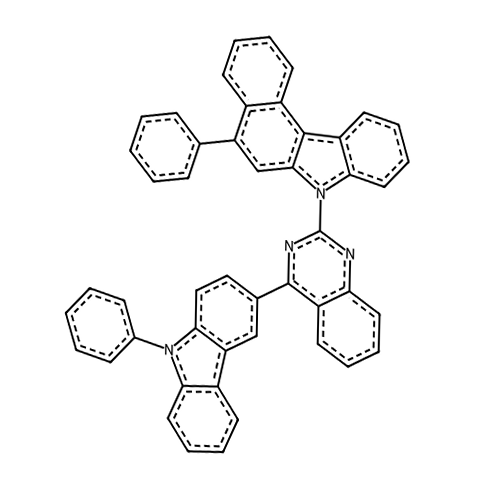 c1ccc(-c2cc3c(c4ccccc24)c2ccccc2n3-c2nc(-c3ccc4c(c3)c3ccccc3n4-c3ccccc3)c3ccccc3n2)cc1